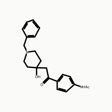 CC(=O)Nc1ccc(C(=O)CC2(O)CCN(Cc3ccccc3)CC2)cc1